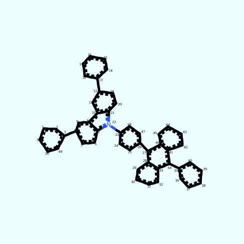 c1ccc(-c2ccc3c(c2)c2cc(-c4ccccc4)ccc2n3-c2ccc(-c3c4ccccc4c(-c4ccccc4)c4ccccc34)cc2)cc1